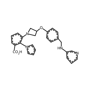 O=C(O)c1cccc(N2CC(Oc3ccc(CNc4cccnc4)cc3)C2)c1-n1cccc1